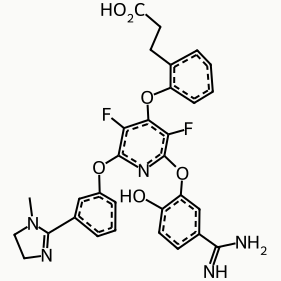 CN1CCN=C1c1cccc(Oc2nc(Oc3cc(C(=N)N)ccc3O)c(F)c(Oc3ccccc3CCC(=O)O)c2F)c1